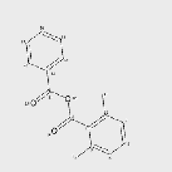 Cc1cccc(C)c1C(=O)OC(=O)c1ccccc1